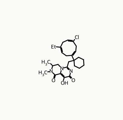 CC/C1=C/C/C(C2(Cc3nc(=O)c(O)c4n3CC(C)N(C)C4=O)CCCCC2)=C\C/C(Cl)=C\C1